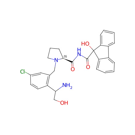 NC(CO)c1ccc(Cl)cc1CN1CCC[C@H]1C(=O)NC(=O)C1(O)c2ccccc2-c2ccccc21